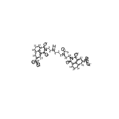 CC(=O)N(CCCNCCN1C(=O)c2cccc3cc([N+](=O)[O-])cc(c23)C1=O)CCN1C(=O)c2cccc3cc([N+](=O)[O-])cc(c23)C1=O